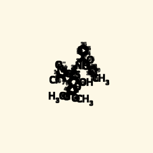 COc1ccc([C@H](Cc2c(Cl)c[n+]([O-])cc2Cl)c2cc(CNCC(C(=O)O[C@@H]3CCN(C)C3)c3ccccc3)sc2C(=O)O)cc1OC